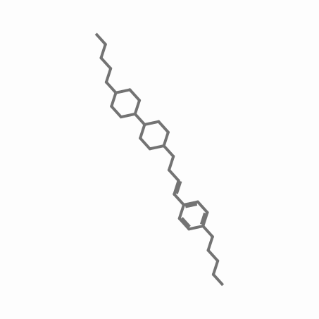 CCCCCc1ccc(C=CCCC2CCC(C3CCC(CCCCC)CC3)CC2)cc1